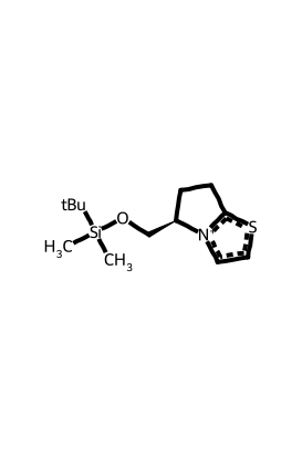 CC(C)(C)[Si](C)(C)OC[C@H]1CCc2scc[n+]21